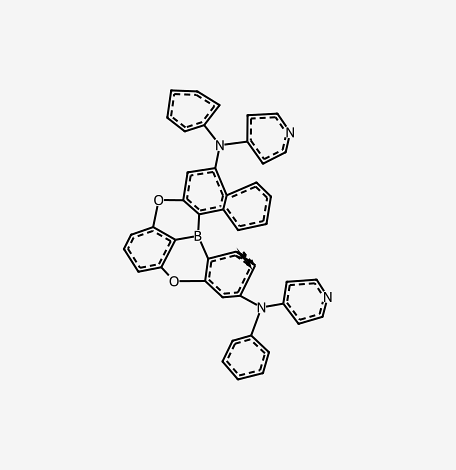 c1ccc(N(c2ccncc2)c2cc3c(c4ccccc24)B2c4c(cccc4Oc4cc(N(c5ccccc5)c5ccncc5)c5ccccc5c42)O3)cc1